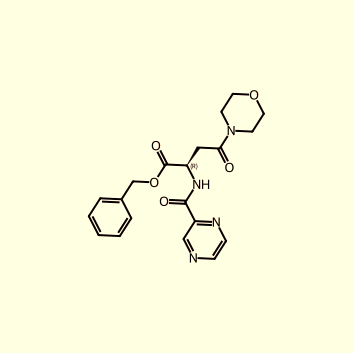 O=C(N[C@H](CC(=O)N1CCOCC1)C(=O)OCc1ccccc1)c1cnccn1